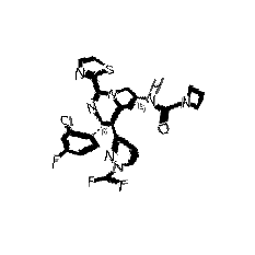 O=C(N[C@H]1CC2=C(c3ccn(C(F)F)n3)[C@H](c3ccc(F)cc3Cl)N=C(c3nccs3)N2C1)N1CCC1